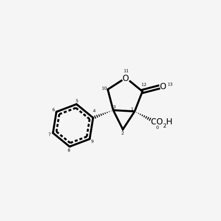 O=C(O)[C@]12C[C@@]1(c1ccccc1)COC2=O